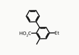 CCc1cc(C)c(C(=O)O)c(-c2ccccc2)c1